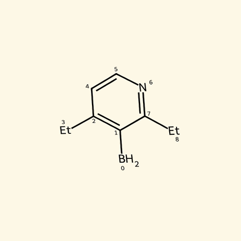 Bc1c(CC)ccnc1CC